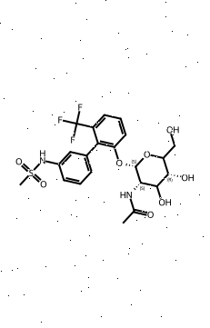 CC(=O)N[C@H]1C(O)[C@@H](O)C(CO)O[C@H]1Oc1cccc(C(F)(F)F)c1-c1cccc(NS(C)(=O)=O)c1